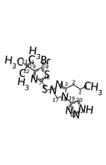 CCCC1=NN(Sc2nc(C(C)(C)C)c(Br)s2)CN1c1c[nH]nn1